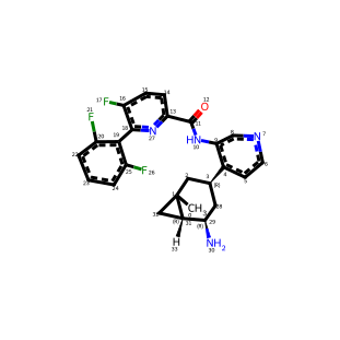 CC12C[C@@H](c3ccncc3NC(=O)c3ccc(F)c(-c4c(F)cccc4F)n3)C[C@@H](N)[C@@H]1C2